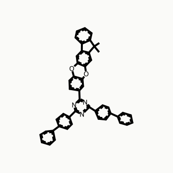 CC1(C)c2ccccc2-c2cc3c(cc21)Oc1cc(-c2nc(-c4ccc(-c5ccccc5)cc4)nc(-c4ccc(-c5ccccc5)cc4)n2)ccc1O3